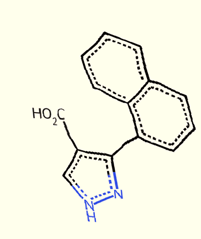 O=C(O)c1c[nH]nc1-c1cccc2ccccc12